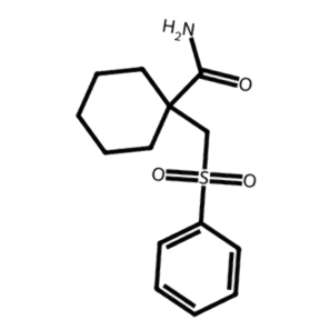 NC(=O)C1(CS(=O)(=O)c2ccccc2)CCCCC1